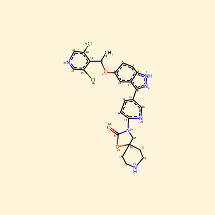 CC(Oc1ccc2[nH]nc(-c3ccc(N4CC5(CCNCC5)OC4=O)nc3)c2c1)c1c(Cl)cncc1Cl